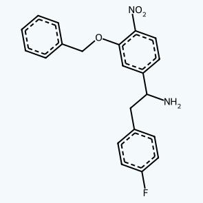 NC(Cc1ccc(F)cc1)c1ccc([N+](=O)[O-])c(OCc2ccccc2)c1